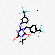 CC(C)(C)N1C(=O)N=C(Nc2cccc(C(F)(F)F)c2)N(Cc2ccc(C(F)(F)F)cc2)C1O